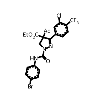 CCOC(=O)C1(C(C)=O)CN(C(=O)Nc2ccc(Br)cc2)N=C1c1ccc(C(F)(F)F)c(Cl)c1